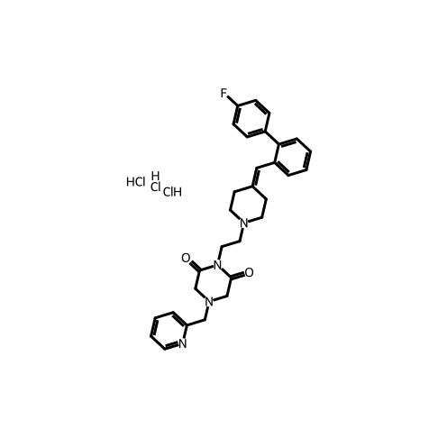 Cl.Cl.Cl.O=C1CN(Cc2ccccn2)CC(=O)N1CCN1CCC(=Cc2ccccc2-c2ccc(F)cc2)CC1